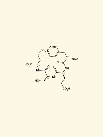 CN[C@@H](Cc1ccccc1)C(=O)N[C@@H](CCC(=O)O)C(=O)N[C@@H](CO)C(=O)N[C@@H](CCC(=O)O)C(=O)O